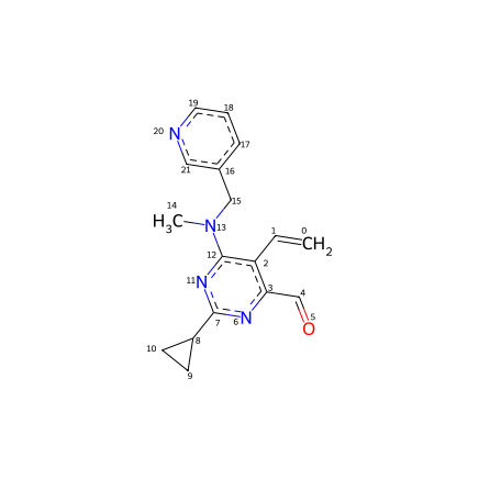 C=Cc1c(C=O)nc(C2CC2)nc1N(C)Cc1cccnc1